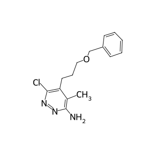 Cc1c(N)nnc(Cl)c1CCCOCc1ccccc1